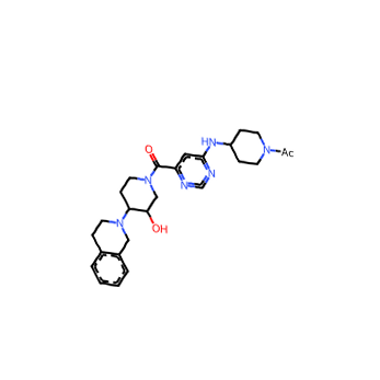 CC(=O)N1CCC(Nc2cc(C(=O)N3CCC(N4CCc5ccccc5C4)C(O)C3)ncn2)CC1